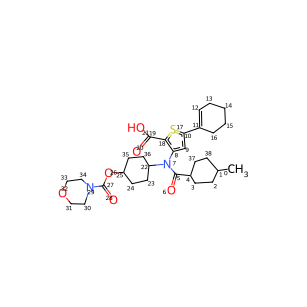 CC1CCC(C(=O)N(c2cc(C3=CCCCC3)sc2C(=O)O)C2CCC(OC(=O)N3CCOCC3)CC2)CC1